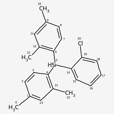 Cc1ccc([SiH](c2ccc(C)cc2C)c2ccccc2Cl)c(C)c1